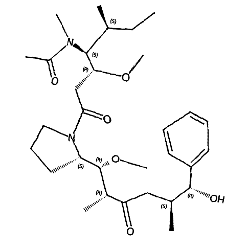 CC[C@H](C)[C@@H]([C@@H](CC(=O)N1CCC[C@H]1[C@H](OC)[C@@H](C)C(=O)C[C@H](C)[C@@H](O)c1ccccc1)OC)N(C)C(C)=O